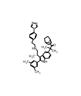 Cc1cc(C)cc(-c2[nH]c3ccc(C(C)(C)C(=O)N4C5CCC4CC5)cc3c2[C@H](C)CNCCc2ccc(-n3cnnc3)cc2)c1